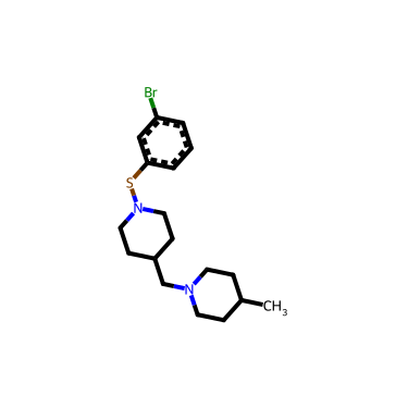 CC1CCN(CC2CCN(Sc3cccc(Br)c3)CC2)CC1